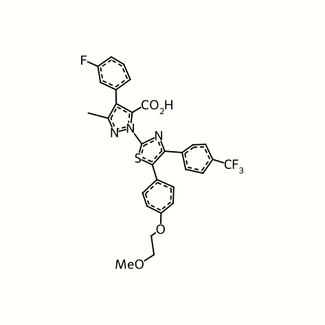 COCCOc1ccc(-c2sc(-n3nc(C)c(-c4cccc(F)c4)c3C(=O)O)nc2-c2ccc(C(F)(F)F)cc2)cc1